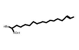 [CH2]/C=C/CCCCCCCCCCCCC(CCCC)CCCCCCC[CH2]